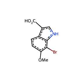 COc1ccc2c(C(=O)O)c[nH]c2c1Br